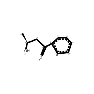 C[C@H](O)CC(=O)c1ccccc1